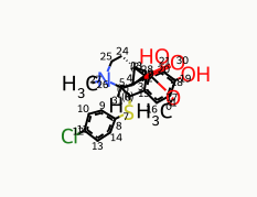 COC1=CC2[C@@H]3[C@H](Sc4ccc(Cl)cc4)c4ccc(O)c(O)c4[C@]2(CCN3C)CC1=O